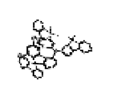 CC(C)(C)c1cc2c(c(C(C)(C)C)c1)C1(c3ccccc3-c3ccccc31)c1cccc(N(c3ccc4c(c3)C(C)(C)c3ccccc3-4)c3ccc4c(c3)C(C)(C)c3ccccc3-4)c1-2